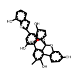 Cc1cc2c3c(c1O)-c1ccc(O)cc1OC3(c1ccc(O)cc1O)Oc1cc(-c3cc4cccc(O)c4o3)cc(O)c1-2